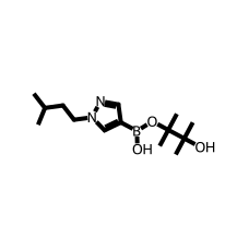 CC(C)CCn1cc(B(O)OC(C)(C)C(C)(C)O)cn1